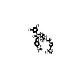 C[C@@]1(Cc2ccc(OC(F)(F)F)cc2)C(=O)N(c2cc(Cl)cc(Cl)c2)c2ncc(C(=O)NCC(=O)N3CC[C@@H](c4nn[nH]n4)C3)n21